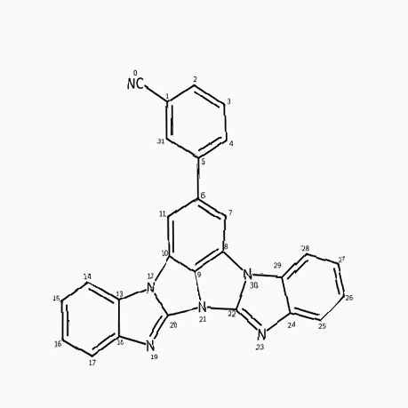 N#Cc1cccc(-c2cc3c4c(c2)n2c5ccccc5nc2n4c2nc4ccccc4n32)c1